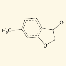 Cc1ccc2c(c1)OCC2[O]